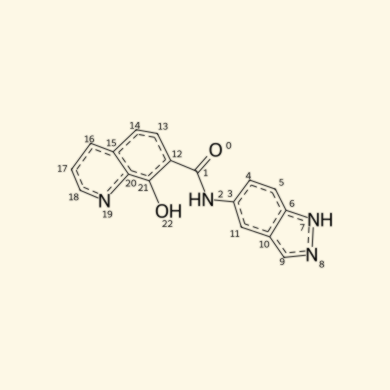 O=C(Nc1ccc2[nH]ncc2c1)c1ccc2cccnc2c1O